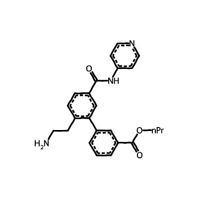 CCCOC(=O)c1cccc(-c2cc(C(=O)Nc3ccncc3)ccc2CCN)c1